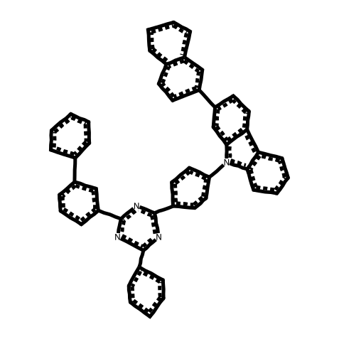 c1ccc(-c2cccc(-c3nc(-c4ccccc4)nc(-c4ccc(-n5c6ccccc6c6ccc(-c7ccc8ccccc8c7)cc65)cc4)n3)c2)cc1